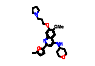 COc1cc2c(NC3CCOCC3)cc(-c3ccc(C)o3)nc2cc1OCCCN1CCCC1